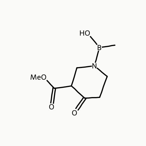 COC(=O)C1CN(B(C)O)CCC1=O